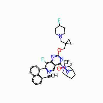 C#Cc1cccc2cccc(-c3ncc4c(N5CC6CCC(C5)N6C(=O)C(F)(F)F)nc(OCC5(CN6CCC(F)CC6)CC5)nc4c3F)c12